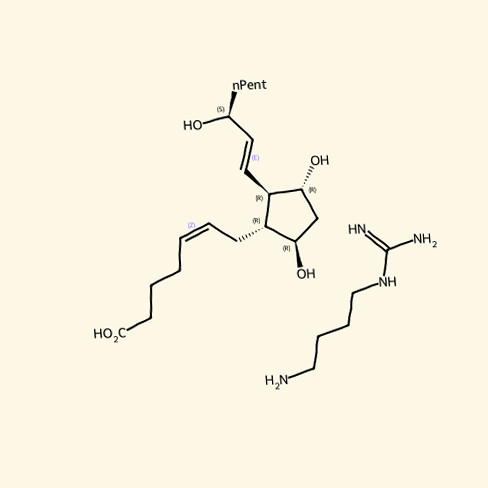 CCCCC[C@H](O)/C=C/[C@@H]1[C@@H](C/C=C\CCCC(=O)O)[C@H](O)C[C@H]1O.N=C(N)NCCCCN